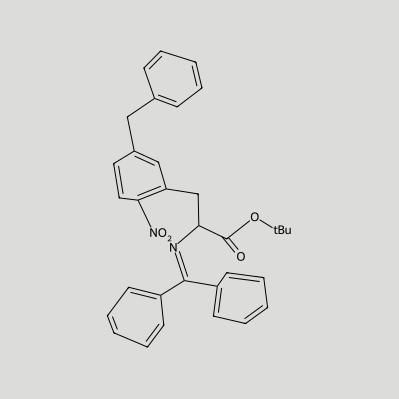 CC(C)(C)OC(=O)C(Cc1cc(Cc2ccccc2)ccc1[N+](=O)[O-])N=C(c1ccccc1)c1ccccc1